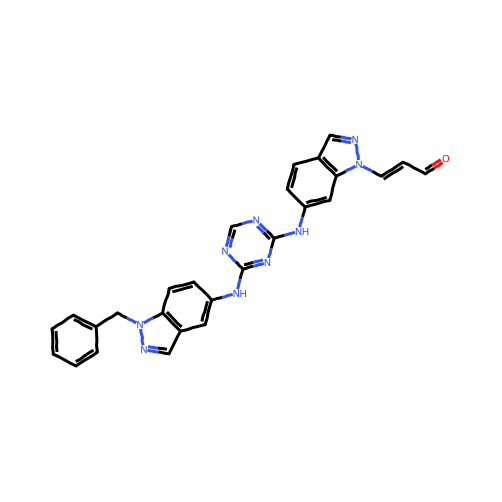 O=CC=Cn1ncc2ccc(Nc3ncnc(Nc4ccc5c(cnn5Cc5ccccc5)c4)n3)cc21